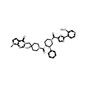 COc1cnccc1-c1ncc(C(=O)N2CC[C@@H](C(=O)N3CCC(O)(Cn4cnc5c(ccn5C)c4=O)CC3)[C@H](c3ccccc3)C2)s1